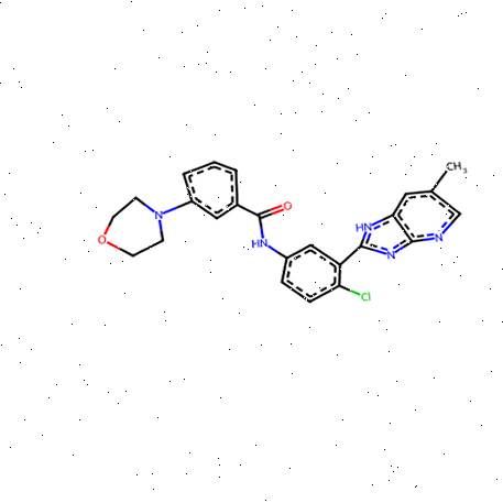 Cc1cnc2nc(-c3cc(NC(=O)c4cccc(N5CCOCC5)c4)ccc3Cl)[nH]c2c1